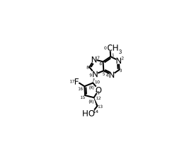 Cc1ncnc2c1ncn2[C@@H]1O[C@@H](CO)C=C1F